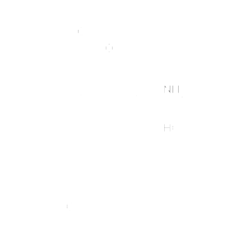 CO[C@H]1Cc2cc(Cl)ccc2[C@H]1N.Cl